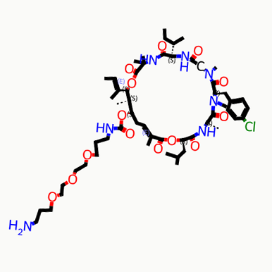 C/C=C(\C)[C@H]1OC(=O)C(C)(C)NC(=O)[C@H](C(C)CC)NC(=O)CN(C)C(=O)[C@@H](Cc2ccc(Cl)cc2)N(C)C(=O)[C@H](C)NC(=O)[C@@H](CC(C)C)OC(=O)/C(C)=C/C[C@H](OC(=O)NCCCOCCOCCOCCCN)[C@@H]1C